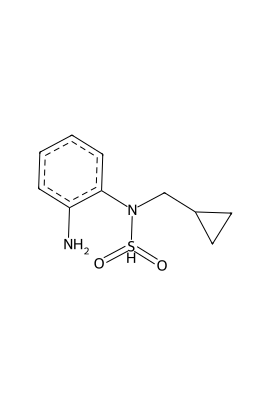 Nc1ccccc1N(CC1CC1)[SH](=O)=O